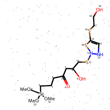 CO[Si](CCCC(=O)CC(O)CSN1NC=C(SCCO)S1)(OC)OC